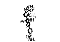 Cc1c(-c2[nH]c3cc(C4CCN(CC(N)=O)CC4)sc3c2C(C)C)ccc2nn(C)c(=O)n12